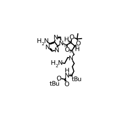 CC(C)(C)OC(=O)N[C@@H](CCCN(CCN)C[C@H]1O[C@@H](n2cnc3c(N)ncnc32)[C@@H]2OC(C)(C)O[C@@H]21)C(C)(C)C